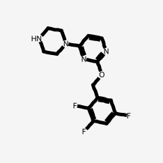 Fc1cc(F)c(F)c(COc2nccc(N3CCNCC3)n2)c1